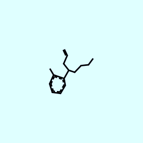 C=CC[C](CCCC)c1ccccc1C